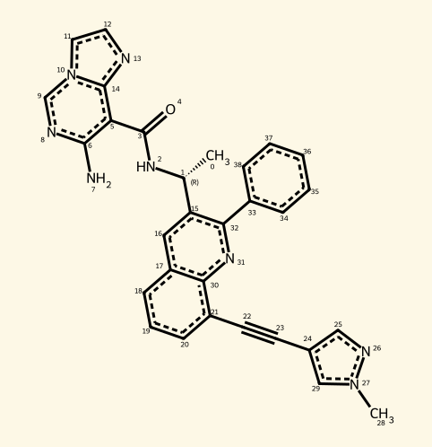 C[C@@H](NC(=O)c1c(N)ncn2ccnc12)c1cc2cccc(C#Cc3cnn(C)c3)c2nc1-c1ccccc1